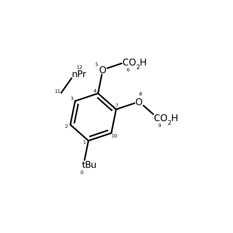 CC(C)(C)c1ccc(OC(=O)O)c(OC(=O)O)c1.CCCC